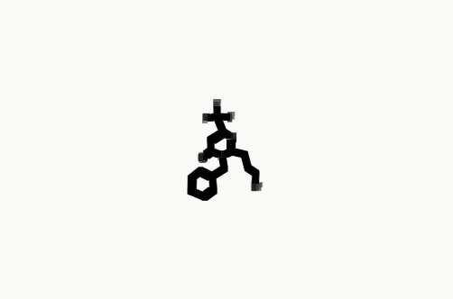 O=c1cc(C(F)(F)F)nc(CCCBr)n1Cc1ccccc1